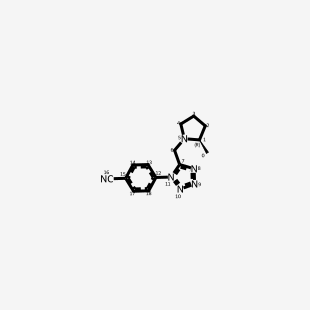 C[C@@H]1CCCN1Cc1nnnn1-c1ccc(C#N)cc1